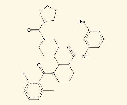 Cc1cccc(F)c1C(=O)N1CCCC(C(=O)Nc2cccc(C(C)(C)C)c2)C1C1CCN(C(=O)N2CCCC2)CC1